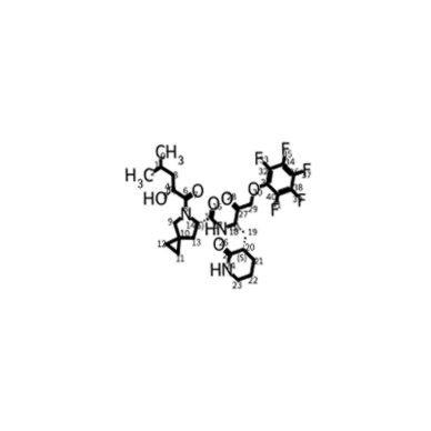 CC(C)C[C@@H](O)C(=O)N1CC2(CC2)C[C@H]1C(=O)N[C@@H](C[C@@H]1CCCNC1=O)C(=O)COc1c(F)c(F)c(F)c(F)c1F